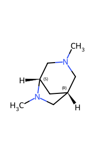 CN1C[C@H]2C[C@@H](C1)N(C)C2